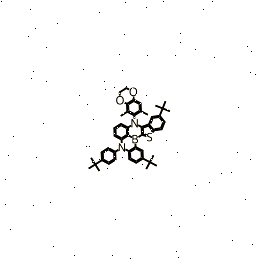 Cc1cc2c(c(C)c1N1c3cccc4c3B(c3cc(C(C)(C)C)ccc3N4c3ccc(C(C)(C)C)cc3)c3sc4ccc(C(C)(C)C)cc4c31)OCCO2